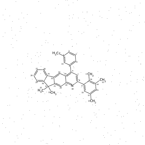 Cc1cccc(-c2cc(-c3cc(C)cc(C)c3C)nc3cc4c(cc23)-c2ccccc2C4(C)C)c1